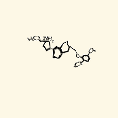 COc1ccc(Cl)c(OCC2CCc3cc([C@@H]4CC[C@](N)(CO)C4)ccc3C2)c1